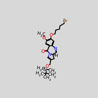 COc1cc2c(cc1OCCCCCBr)N=C[C@@H]1CC(CO[Si](C)(C)C(C)(C)C)=CN1C2=O